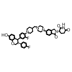 O=C1CC[C@H](N2Cc3cc(N4CCN(CC5CCN(c6ccc(C7c8ccc(O)cc8OC[C@@H]7c7ccc(F)cc7)cc6F)CC5)CC4)ccc3C2=O)C(=O)N1